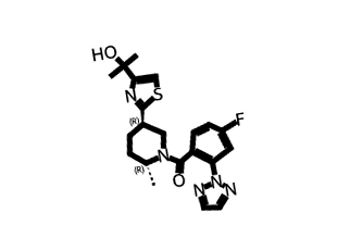 C[C@@H]1CC[C@@H](c2nc(C(C)(C)O)cs2)CN1C(=O)c1ccc(F)cc1-n1nccn1